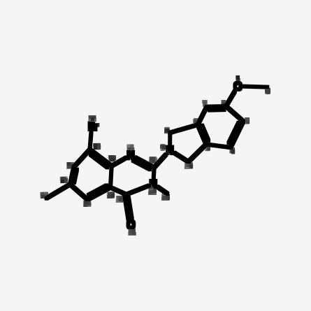 COc1ccc2c(c1)CN(c1nc3c(Br)cc(C)cc3c(=O)n1C)C2